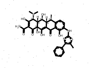 Cc1sc(Nc2ccc3c(c2O)C(=O)C2=C(O)[C@]4(O)C(=O)C(C(N)=O)=C(O)[C@@H](N(C)C)[C@@H]4[C@@H](O)[C@@H]2[C@H]3C)nc1-c1ccccc1